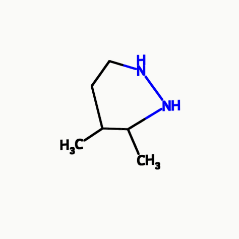 CC1CCNNC1C